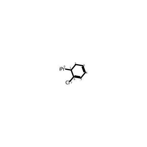 CC(C)C1CC=CC=C1Cl